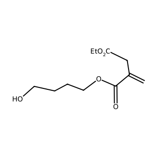 C=C(CC(=O)OCC)C(=O)OCCCCO